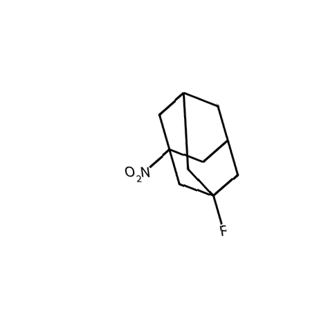 O=[N+]([O-])C12CC3CC(CC(F)(C3)C1)C2